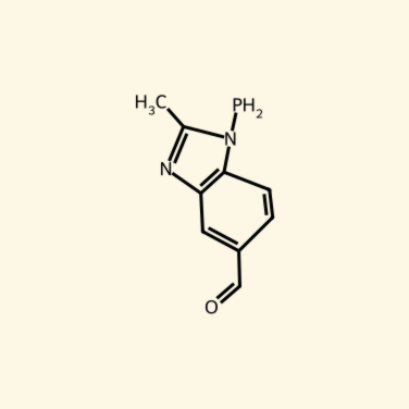 Cc1nc2cc(C=O)ccc2n1P